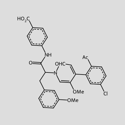 COC(=C/N(C)C(Cc1cccc(OC)c1)C(=O)Nc1ccc(C(=O)O)cc1)/C(=C\C=O)c1cc(Cl)ccc1C(C)=O